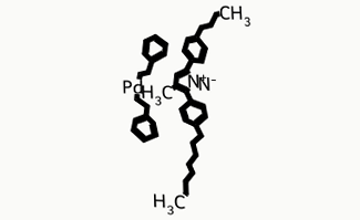 CCCCCCCCc1ccc(C2=C(C)C=C(c3ccc(CCCC)cc3)[N+]2=[N-])cc1.c1ccc(C[CH2][Pd][CH2]Cc2ccccc2)cc1